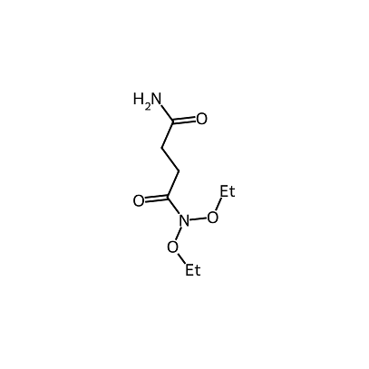 CCON(OCC)C(=O)CCC(N)=O